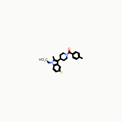 Cc1ccc(C(=O)N2CCC(c3c(C)n(CC(=O)O)c4ccc(F)cc34)CC2)cc1